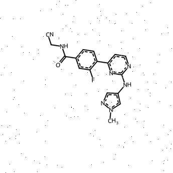 Cn1cc(Nc2nccc(-c3ccc(C(=O)NCC#N)cc3F)n2)cn1